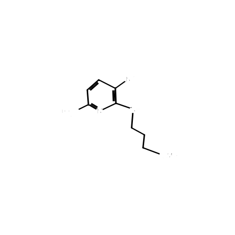 CCOC(=O)c1ccc([N+](=O)[O-])c(NCCCOC)n1